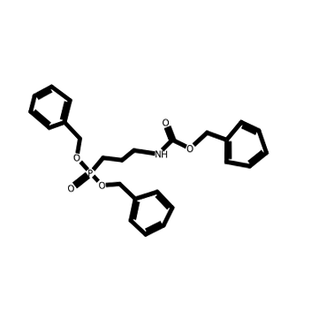 O=C(N[CH]CCP(=O)(OCc1ccccc1)OCc1ccccc1)OCc1ccccc1